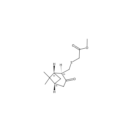 COC(=O)CSC[C@H]1C(=O)C[C@H]2C[C@@H]1C2(C)C